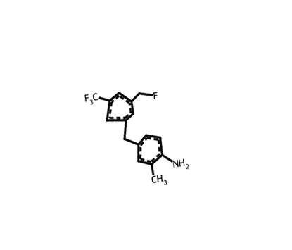 Cc1cc(Cc2cc(CF)cc(C(F)(F)F)c2)ccc1N